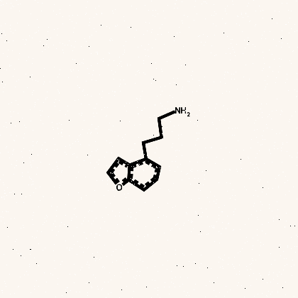 NCCCc1cccc2occc12